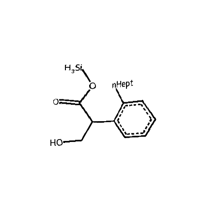 CCCCCCCc1ccccc1C(CO)C(=O)O[SiH3]